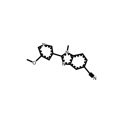 COc1cncc(-c2nc3cc(C#N)ccc3n2C)c1